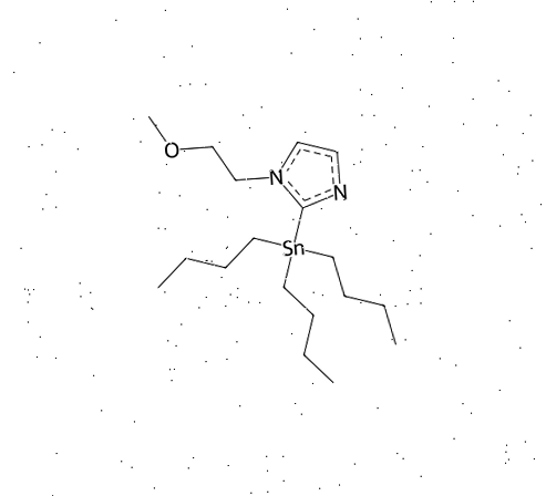 CCC[CH2][Sn]([CH2]CCC)([CH2]CCC)[c]1nccn1CCOC